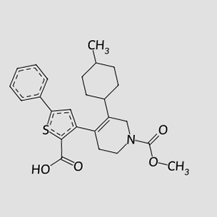 COC(=O)N1CCC(c2cc(-c3ccccc3)sc2C(=O)O)=C(C2CCC(C)CC2)C1